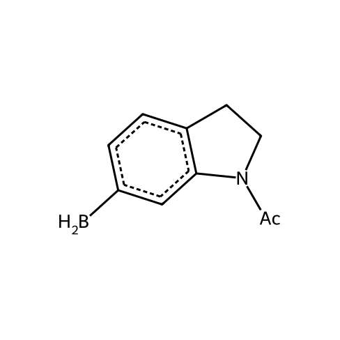 Bc1ccc2c(c1)N(C(C)=O)CC2